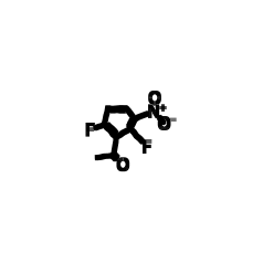 CC(=O)c1c(F)ccc([N+](=O)[O-])c1F